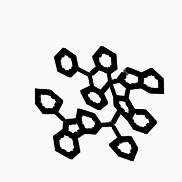 c1ccc(N2c3ccccc3C3(c4ccccc42)c2ccc4ccccc4c2-c2c3cc(N(c3ccccc3)c3ccc4c(c3)c3ccccc3n4-c3ccccc3)c3ccccc23)cc1